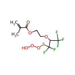 C=C(C)C(=O)OCCOC(C(F)(F)F)C(F)(F)SOOO